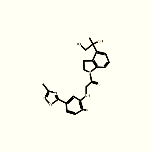 Cc1noc(-c2ccc(F)c(NCC(=O)N3CCc4c3cccc4C(C)(O)CO)c2)n1